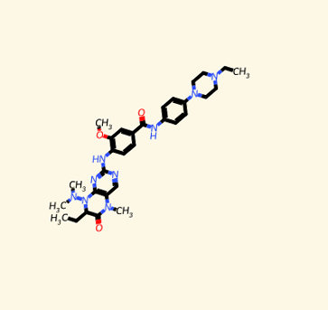 CCC1C(=O)N(C)c2cnc(Nc3ccc(C(=O)Nc4ccc(N5CCN(CC)CC5)cc4)cc3OC)nc2N1N(C)C